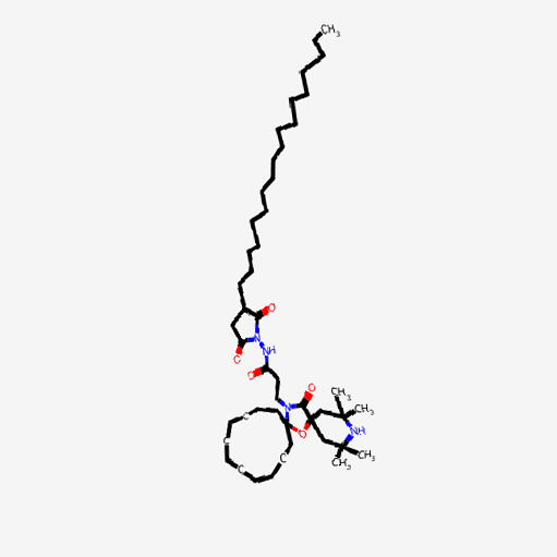 CCCCCCCCCCCCCCCCCCC1CC(=O)N(NC(=O)CCN2C(=O)C3(CC(C)(C)NC(C)(C)C3)OC23CCCCCCCCCCC3)C1=O